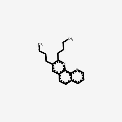 CCCCc1cc2ccc3cccnc3c2nc1CCCC